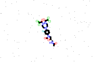 CC(=O)NC[C@H]1CN(c2ccc(N3CCN(C(=O)C(Cl)Cl)N(C(=O)C(Cl)Cl)CC3)c(F)c2)C(=O)O1